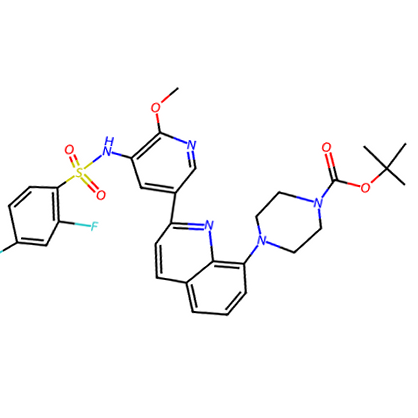 COc1ncc(-c2ccc3cccc(N4CCN(C(=O)OC(C)(C)C)CC4)c3n2)cc1NS(=O)(=O)c1ccc(F)cc1F